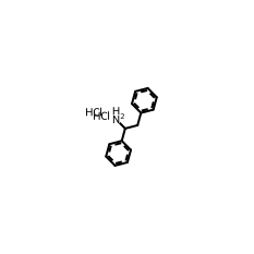 Cl.Cl.NC(Cc1ccccc1)c1ccccc1